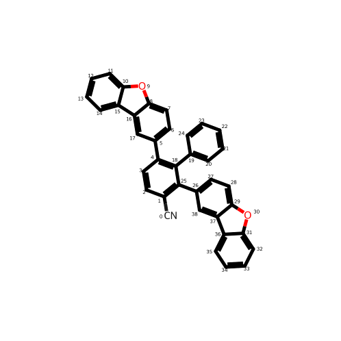 N#Cc1ccc(-c2ccc3oc4ccccc4c3c2)c(-c2ccccc2)c1-c1ccc2oc3ccccc3c2c1